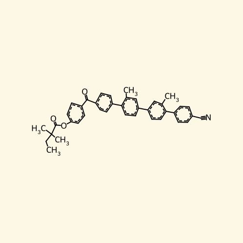 CCC(C)(C)C(=O)Oc1ccc(C(=O)c2ccc(-c3ccc(-c4ccc(-c5ccc(C#N)cc5)c(C)c4)cc3C)cc2)cc1